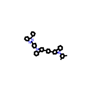 Cc1cc(C)cc(-n2c3ccccc3c3cc(-c4ccc(-c5ccc6c(c5)c5ccccc5n6-c5ccc(-c6nc(-c7ccccc7)c7ccccc7n6)cc5)cc4)ccc32)c1